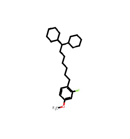 Fc1cc(OC(F)(F)F)ccc1CCCCCCC(C1CCCCC1)C1CCCCC1